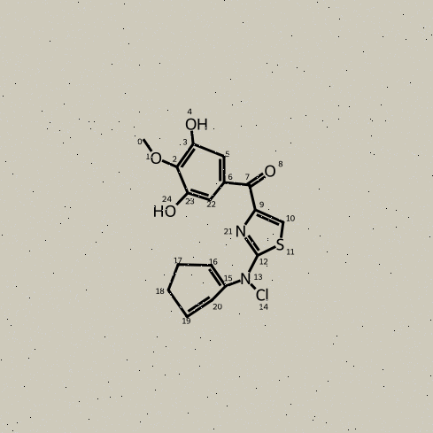 COc1c(O)cc(C(=O)c2csc(N(Cl)C3=CCCC=C3)n2)cc1O